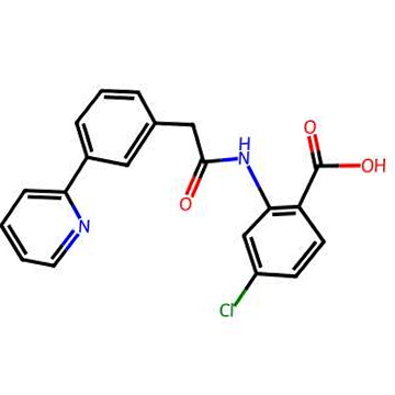 O=C(Cc1cccc(-c2ccccn2)c1)Nc1cc(Cl)ccc1C(=O)O